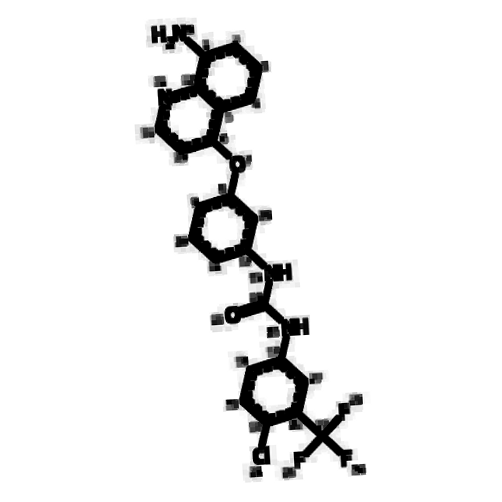 Nc1cccc2c(Oc3cccc(NC(=O)Nc4ccc(Cl)c(C(F)(F)F)c4)c3)ccnc12